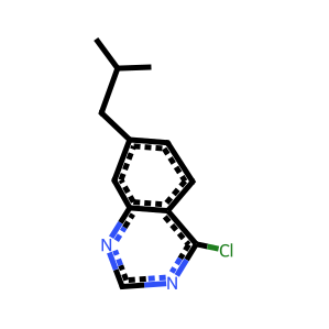 CC(C)Cc1ccc2c(Cl)ncnc2c1